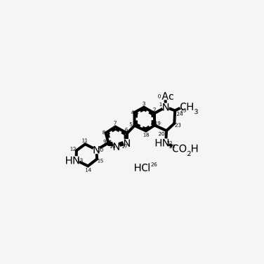 CC(=O)N1c2ccc(-c3ccc(N4CCNCC4)nn3)cc2C(NC(=O)O)CC1C.Cl